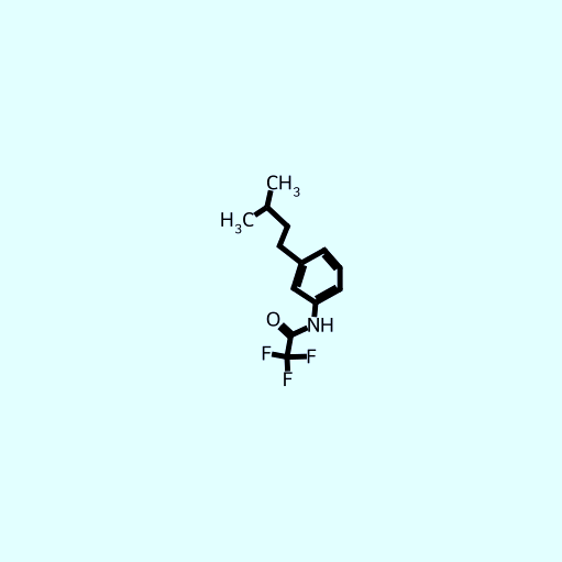 CC(C)CCc1cccc(NC(=O)C(F)(F)F)c1